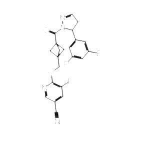 N#Cc1cnc(OCC23CC(C(=O)N4N=CCC4c4cc(F)cc(F)c4)(C2)C3)c(F)c1